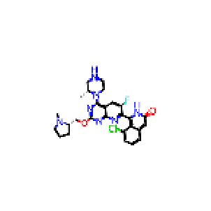 C[C@@H]1CNCCN1c1nc(OC[C@@H]2CCCN2C)nc2nc(-c3[nH]c(=O)cc4cccc(Cl)c34)c(F)cc12